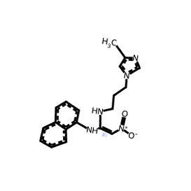 Cc1cn(CCCN/C(=C\[N+](=O)[O-])Nc2cccc3ccccc23)cn1